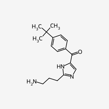 CC(C)(C)c1ccc(C(=O)c2cnc(CCCN)[nH]2)cc1